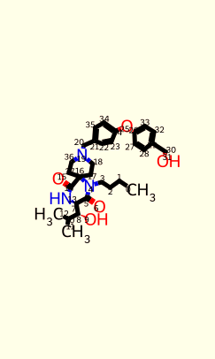 CCCCN1C(=O)[C@@H]([C@H](O)C(C)C)NC(=O)C12CCN(Cc1ccc(Oc3ccc(CO)cc3)cc1)CC2